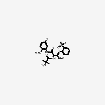 CN/C(=N\c1ccccc1S(C)(=O)=O)C(NC(=O)C(C)(C)N)C(=O)Nc1cc(Cl)ccc1OC